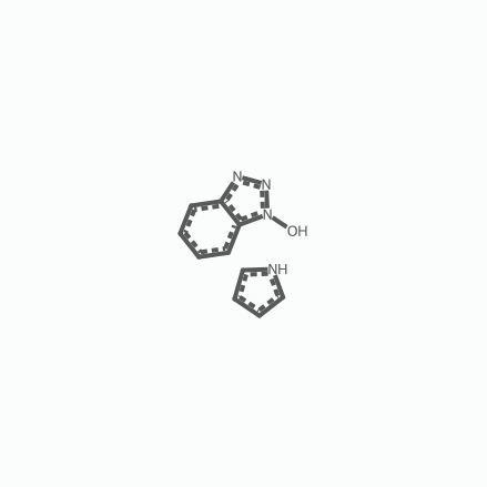 On1nnc2ccccc21.c1cc[nH]c1